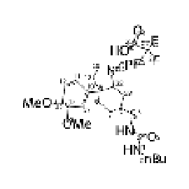 CCCCNC(=O)NSC1CCC2(c3ccc(OC)c(OC)c3)CCN(CCC)C2C1.O=C(O)C(F)(F)F